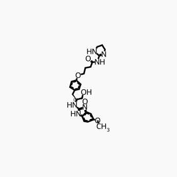 COc1ccc2[nH]c(N[C@@H](Cc3ccc(OCCCC(=O)NC4=NCCCN4)cc3)C(=O)O)nc2c1